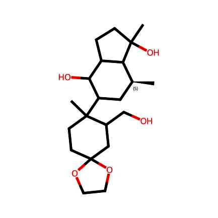 C[C@H]1CC(C2(C)CCC3(CC2CO)OCCO3)C(O)C2CCC(C)(O)C21